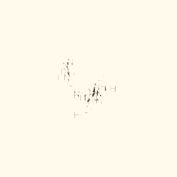 C=CCN1CC(=O)N2[C@@H](Cc3ccc(O)cc3)C(=O)N(Cc3cccc4c(-c5ccc(NC(=O)Nc6ccncn6)cc5)cn(C)c34)C[C@@H]2N1C(=O)NCc1ccccc1